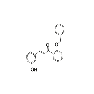 O=C(C=Cc1cccc(O)c1)c1ccccc1OCc1ccccc1